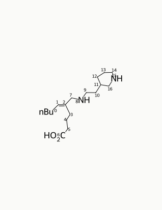 CCCCC=C(CCCC(=O)O)CNCCC1CCCNC1